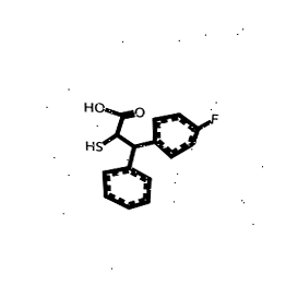 O=C(O)C(S)C(c1ccccc1)c1ccc(F)cc1